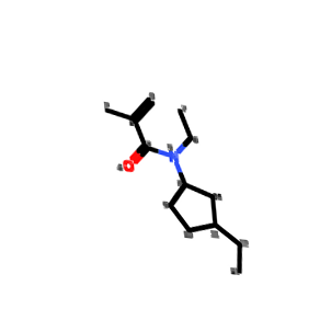 C=C(C)C(=O)N(CC)C1CCC(CC)C1